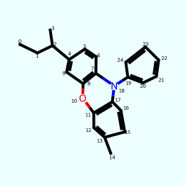 CCC(C)c1ccc2c(c1)Oc1cc(C)ccc1N2c1ccccc1